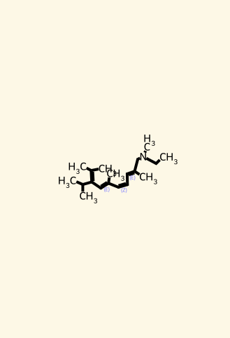 CCN(C)C/C(C)=C/C=C\C(C)=C\C(=C(C)C)C(C)C